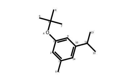 [CH2]c1cc(OC(C)(C)C)cc(C(C)C)c1